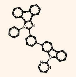 c1ccc(-n2c(-c3cccc(-c4ccc5c6ccccc6n(-c6ncccn6)c5c4)c3)nc3c4ccccc4c4ccccc4c32)cc1